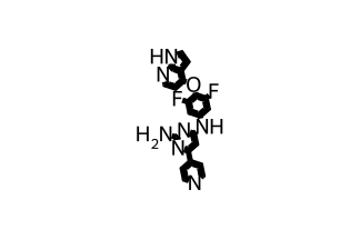 Nc1nc(Nc2cc(F)c(Oc3ccnc4[nH]ccc34)c(F)c2)cc(-c2ccncc2)n1